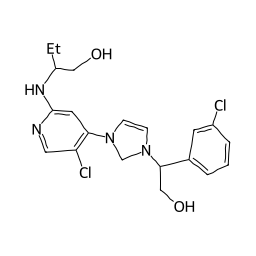 CCC(CO)Nc1cc(N2C=CN(C(CO)c3cccc(Cl)c3)C2)c(Cl)cn1